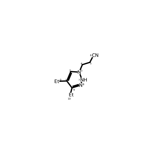 CCC1=CN(CCC#N)NN=C1CC